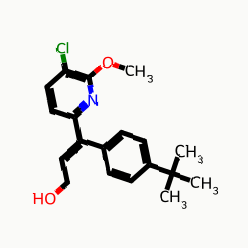 COc1nc(C(=CCO)c2ccc(C(C)(C)C)cc2)ccc1Cl